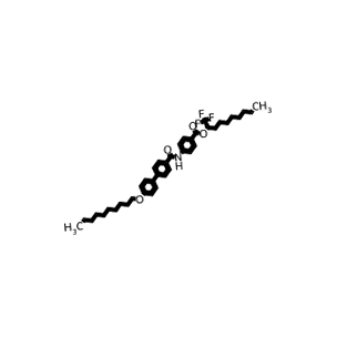 CCCCCCCCCCOc1ccc(-c2ccc(C(=O)Nc3ccc(C(=O)OC(CCCCCCCC)C(F)(F)F)cc3)cc2)cc1